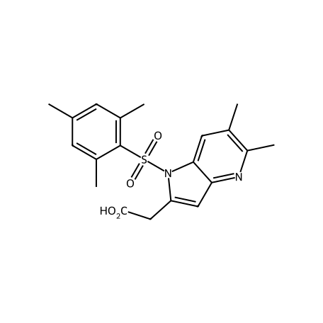 Cc1cc(C)c(S(=O)(=O)n2c(CC(=O)O)cc3nc(C)c(C)cc32)c(C)c1